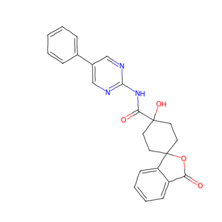 O=C1OC2(CCC(O)(C(=O)Nc3ncc(-c4ccccc4)cn3)CC2)c2ccccc21